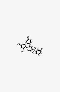 CCc1cc(Cl)ccc1N1CCN(S(=O)(=O)c2cccc(F)c2)CC1c1ccc(Cl)cc1